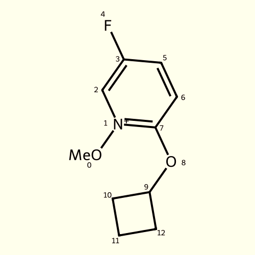 CO[n+]1cc(F)ccc1OC1CCC1